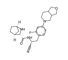 N#C[C@H](Cc1ccc(N2CCC3COCC3C2)cc1F)NC(=O)[C@H]1N[C@@H]2CC[C@H]1C2